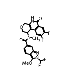 COc1c2ccc(C(=O)N(C)C3COCc4[nH]c(=O)c5cc(F)c(F)cc5c43)cc2nn1C(F)F